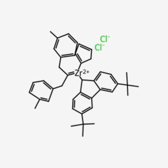 Cc1cccc(C[C](Cc2cccc(C)c2)=[Zr+2]([C]2=CC=CC2)[CH]2c3ccc(C(C)(C)C)cc3-c3cc(C(C)(C)C)ccc32)c1.[Cl-].[Cl-]